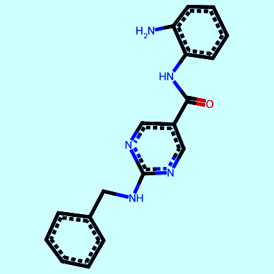 Nc1ccccc1NC(=O)c1cnc(NCc2ccccc2)nc1